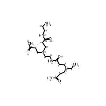 CCN(CCC(C)=O)CCC(=O)NCCN(CCC(C)=O)CCC(=O)NCCN